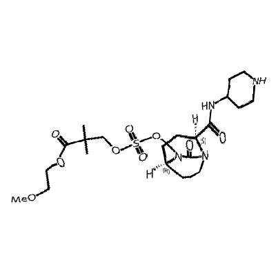 COCCOC(=O)C(C)(C)COS(=O)(=O)ON1C(=O)N2CC[C@H]1CC[C@H]2C(=O)NC1CCNCC1